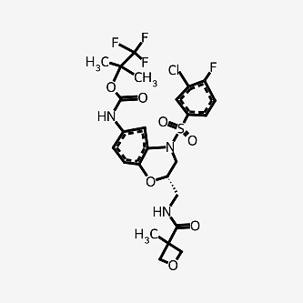 CC1(C(=O)NC[C@H]2CN(S(=O)(=O)c3ccc(F)c(Cl)c3)c3cc(NC(=O)OC(C)(C)C(F)(F)F)ccc3O2)COC1